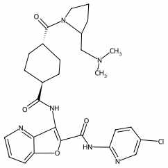 CN(C)CC1CCCN1C(=O)[C@H]1CC[C@H](C(=O)Nc2c(C(=O)Nc3ccc(Cl)cn3)oc3cccnc23)CC1